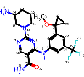 COC1(c2cc(Nc3nc(N4CCCC(N)C4)ncc3C(N)=O)cc(C(F)(F)F)c2)CC1